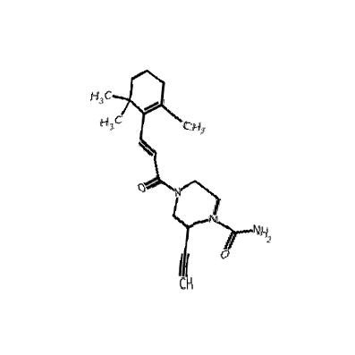 C#CC1CN(C(=O)/C=C/C2=C(C)CCCC2(C)C)CCN1C(N)=O